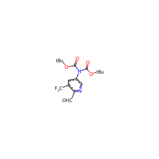 CC(C)(C)OC(=O)N(C(=O)OC(C)(C)C)c1cnc(C=O)c(C(F)(F)F)c1